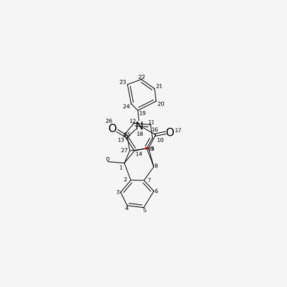 CC12c3ccccc3C(c3ccccc31)C1C(=O)N(c3ccccc3)C(=O)C12